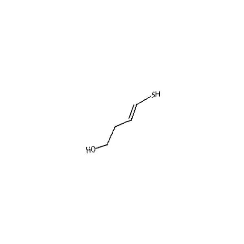 OCCC=CS